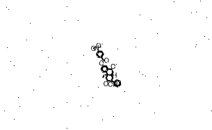 CCC12CC(=O)C(O)(c3ccccc3)C[C@H]1CC(=O)c1cc(OC(=O)c3ccc([N+](=O)[O-])cc3)ccc12